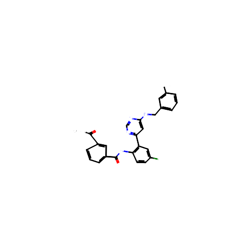 COC(=O)c1cccc(C(=O)Nc2ccc(Cl)cc2-c2cc(NCc3cccc(C)c3)ncn2)c1